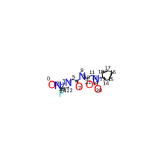 CON1C2N(CC(=O)N(C)C3CN(c4ccccc4)C(=O)O3)CC21F